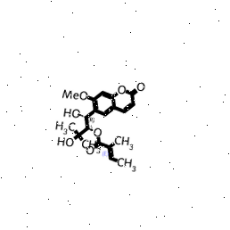 C/C=C(\C)C(=O)O[C@@H]([C@H](O)c1cc2ccc(=O)oc2cc1OC)C(C)(C)O